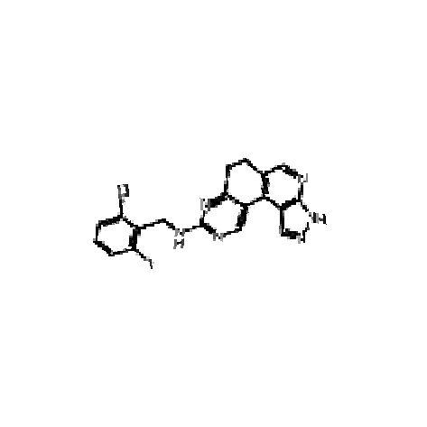 Fc1cccc(Cl)c1CNc1ncc2c(n1)CCc1cnc3[nH]ncc3c1-2